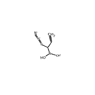 C=CC(N=[N+]=[N-])B(O)O